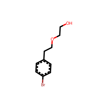 OCCOCCc1ccc(Br)cc1